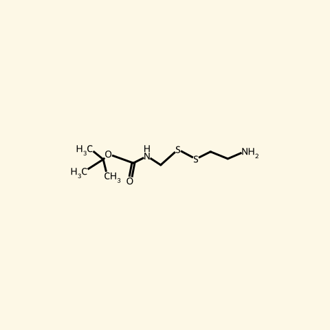 CC(C)(C)OC(=O)NCSSCCN